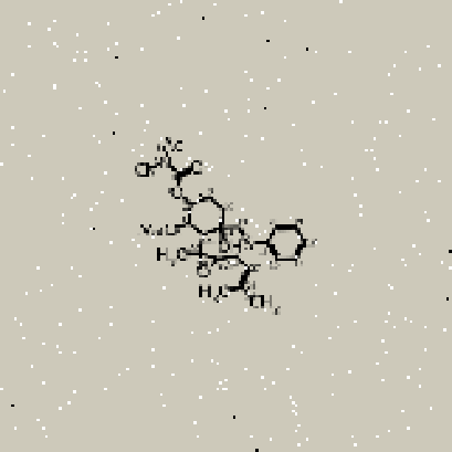 COC1C(OC(=O)N(Cl)C(C)=O)CCC(O)(CSc2ccccc2)C1C1(C)OC1CC=C(C)C